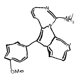 COc1cccc(-c2c3cccnc3n3c(N)nccc23)c1